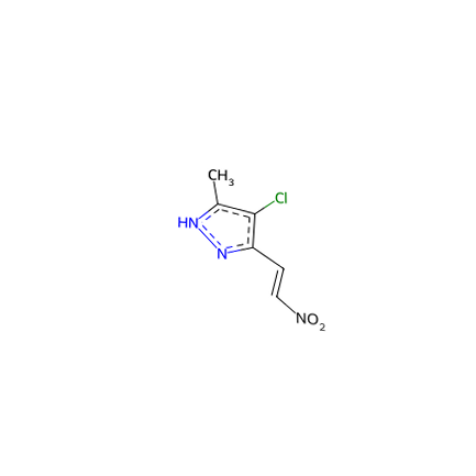 Cc1[nH]nc(C=C[N+](=O)[O-])c1Cl